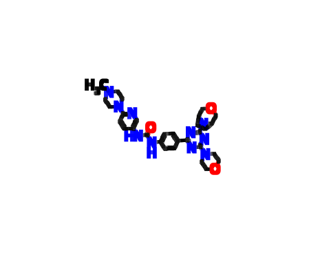 CN1CCN(c2ccc(NC(=O)Nc3ccc(-c4nc(N5CCOCC5)nc(N5C6CCC5COC6)n4)cc3)cn2)CC1